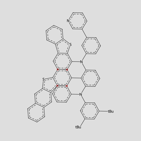 CC(C)(C)c1cc(N(c2ccccc2)c2cccc(N(c3cccc(-c4cccnc4)c3)c3cccc4c3sc3ccccc34)c2-c2ccc3sc4cc5ccccc5cc4c3c2)cc(C(C)(C)C)c1